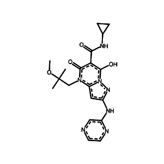 COC(C)(C)Cn1c(=O)c(C(=O)NC2CC2)c(O)n2nc(Nc3cnccn3)cc12